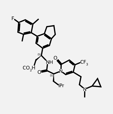 Cc1cc(F)cc(C)c1-c1cc([C@H](CC(=O)O)NC(=O)[C@H](CC(C)C)n2cc(CCN(C)C3CC3)c(C(F)(F)F)cc2=O)cc2c1CCC2